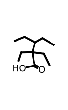 CCC(CC)C(CC)(CC)C(=O)O